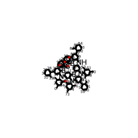 Cc1cc(C)c(N2c3cc4c(cc3B3c5sc6ccccc6c5Oc5cc(-c6ccccc6C)cc2c53)B2c3cc5c(cc3N(c3c(C)cc(C)cc3C)c3cc(-c6ccccc6C)cc(c32)N4c2c(C)cc(C)cc2C)Nc2cc(-c3ccccc3C)cc3c2B5c2sc4ccccc4c2O3)c(C)c1